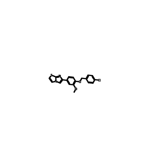 COc1cc(-c2cn3ccsc3n2)ccc1OCc1ccc(Cl)cc1